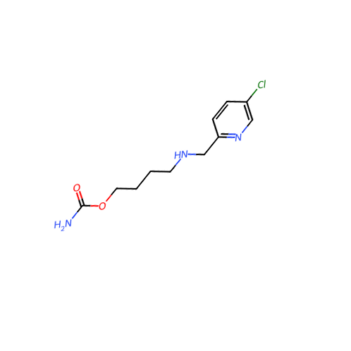 NC(=O)OCCCCNCc1ccc(Cl)cn1